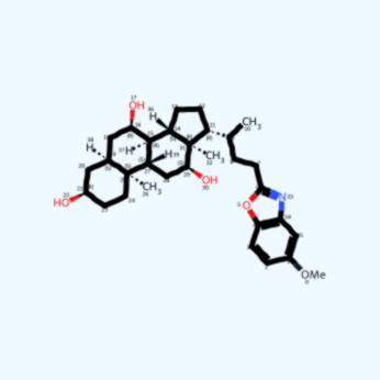 COc1ccc2oc(CCC(C)[C@H]3CC[C@H]4[C@@H]5[C@H](O)C[C@@H]6C[C@H](O)CC[C@]6(C)[C@H]5C[C@H](O)[C@]34C)nc2c1